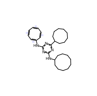 C1=C\C=C/C(Nc2nc(NC3CCCCCCCCC3)nc(C3CCCCCCCC3)n2)=C\C=C/1